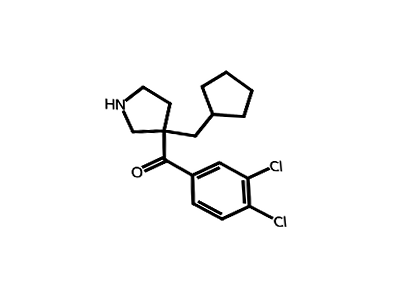 O=C(c1ccc(Cl)c(Cl)c1)C1(CC2CCCC2)CCNC1